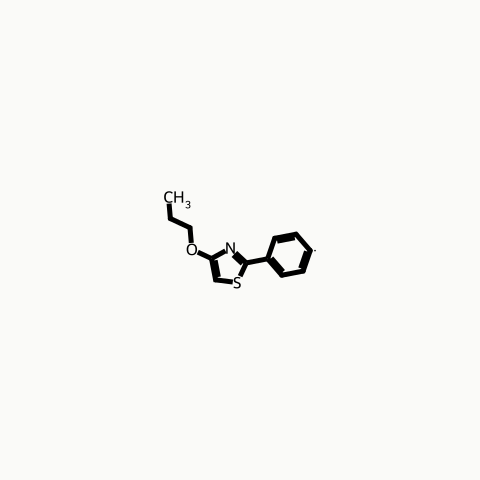 CCCOc1csc(-c2cc[c]cc2)n1